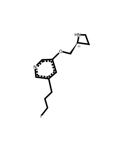 ICCCc1cncc(OC[C@@H]2CCN2)c1